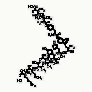 CC(C)C[C@H](N)C(=O)O.CC(C)[C@H](N)C(=O)O.CC[C@H](C)[C@H](N)C(=O)O.CSCC[C@H](N)C(=O)O.C[C@@H](O)[C@H](N)C(=O)O.Cl.Cl.NCCCC[C@H](N)C(=O)O.N[C@@H](Cc1c[nH]c2ccccc12)C(=O)O.N[C@@H](Cc1c[nH]cn1)C(=O)O.N[C@@H](Cc1ccc(O)cc1)C(=O)O.N[C@@H](Cc1ccccc1)C(=O)O